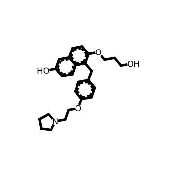 OCCCOc1ccc2cc(O)ccc2c1Cc1ccc(OCCN2CCCC2)cc1